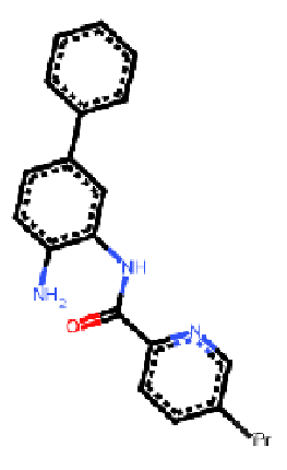 CC(C)c1ccc(C(=O)Nc2cc(-c3ccccc3)ccc2N)nc1